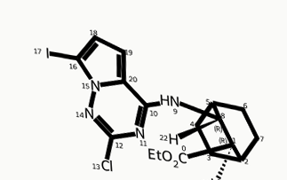 CCOC(=O)[C@@H]1C2CCC(CC2)[C@H]1Nc1nc(Cl)nn2c(I)ccc12